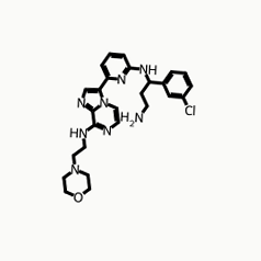 NCCC(Nc1cccc(-c2cnc3c(NCCN4CCOCC4)nccn23)n1)c1cccc(Cl)c1